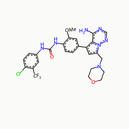 COc1cc(-c2cc(CN3CCOCC3)n3ncnc(N)c23)ccc1NC(=O)Nc1ccc(Cl)c(C(F)(F)F)c1